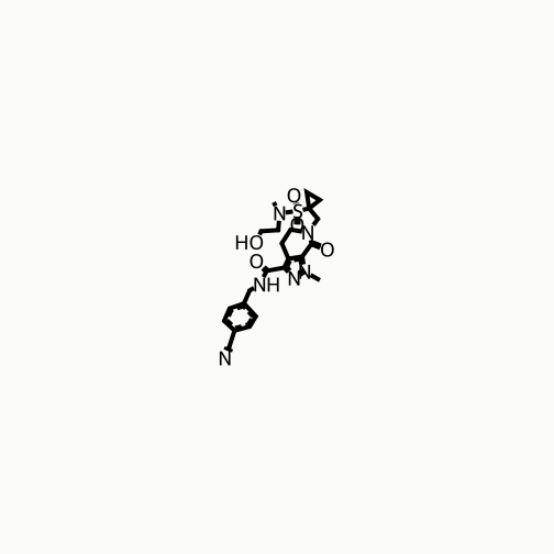 CN(CCO)S(=O)(=O)C1(CN2CCc3c(C(=O)NCc4ccc(C#N)cc4)nn(C)c3C2=O)CC1